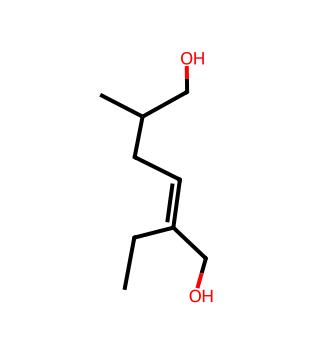 CC/C(=C\CC(C)CO)CO